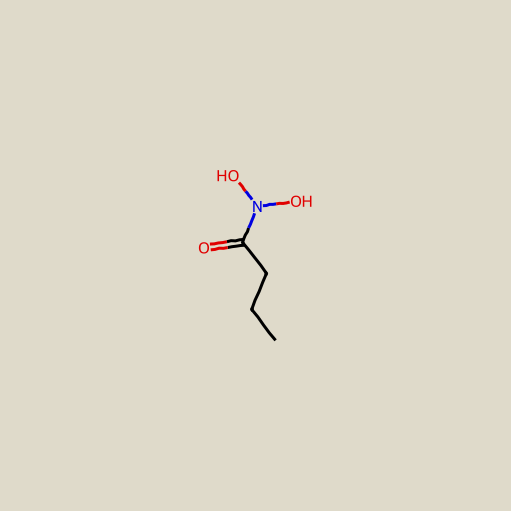 CCCC(=O)N(O)O